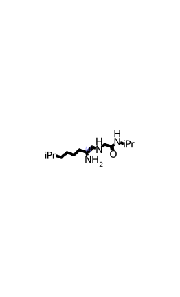 CC(C)CCCC/C(N)=C/NCC(=O)NC(C)C